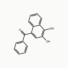 O=C(c1ccccc1)c1cc(O)c(O)c2ccccc12